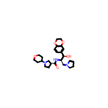 O=C(N[C@H](CN1CCCC1)[C@H](O)c1ccc2c(c1)OCCO2)[C@H]1CCN(C2CCOCC2)C1